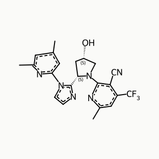 Cc1cc(C)nc(-n2ccnc2[C@@H]2C[C@H](O)CN2c2nc(C)cc(C(F)(F)F)c2C#N)c1